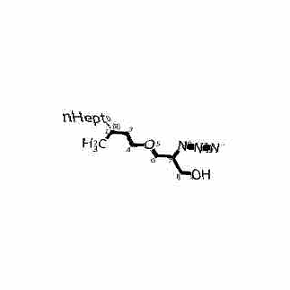 CCCCCCC[C@@H](C)CCOCC(CO)N=[N+]=[N-]